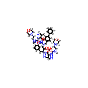 CC(C)[C@H](NC(=O)N(C)CCN1CCOCC1)C(=O)N[C@@H](Cc1ccccc1)[C@@H](O)CN(Cc1ccc(-c2ccccc2)cc1)NC(=O)[C@@H](NC(=O)N(C)CCN1CCOCC1)C(C)C